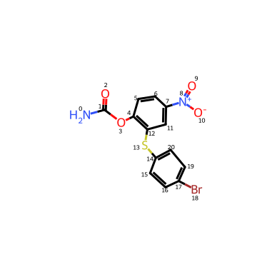 NC(=O)Oc1ccc([N+](=O)[O-])cc1Sc1ccc(Br)cc1